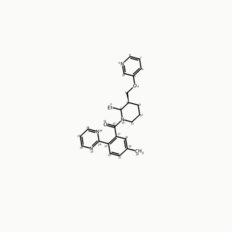 CCC1[C@@H](COc2cccnc2)CCCN1C(=O)c1cc(C)ccc1-c1ncccn1